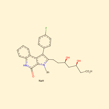 CC(C)n1c(CC[C@@H](O)C[C@@H](O)CC(=O)O)c(-c2ccc(F)cc2)c2c3ccccc3[nH]c(=O)c21.[NaH]